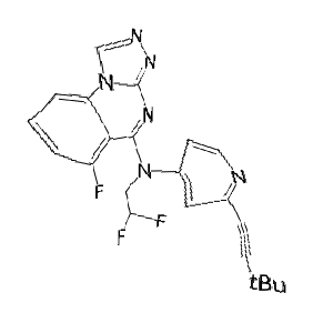 CC(C)(C)C#Cc1cc(N(CC(F)F)c2nc3nncn3c3cccc(F)c23)ccn1